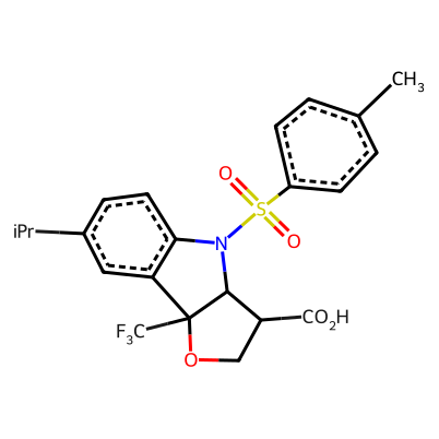 Cc1ccc(S(=O)(=O)N2c3ccc(C(C)C)cc3C3(C(F)(F)F)OCC(C(=O)O)C23)cc1